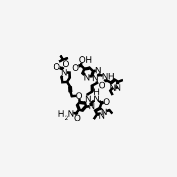 CCn1nc(C)cc1C(=O)Nc1nc2cc(C(=O)O)cnc2n1C/C=C/Cn1c(NC(=O)c2cc(C)nn2CC)nc2cc(C(N)=O)cc(OCC#CC3CCN(C(=O)OC(C)(C)C)CC3)c21